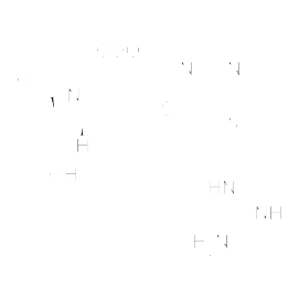 C[C@@H](O)[C@H]1C(=O)N2C(C(=O)[O-])=C(c3c[n+]4cn(C)c(SCCNC(=N)N)c4s3)[C@H](C)[C@H]12